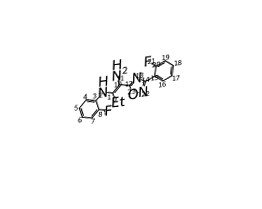 CC/C(Nc1ccccc1F)=C(/N)c1nc(-c2ccccc2F)no1